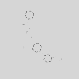 CCOc1c(C(=O)O)ccc(-c2ccc(CCNC[C@@H](O)c3ccccc3)cc2)c1C.Cl